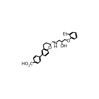 CCc1ccccc1OC[C@@H](O)CNC[C@H]1CCc2cc(-c3ccc(C(=O)O)cc3)ccc2O1